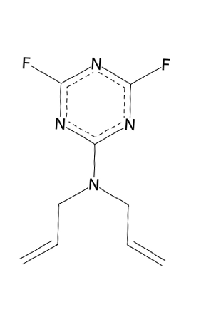 C=CCN(CC=C)c1nc(F)nc(F)n1